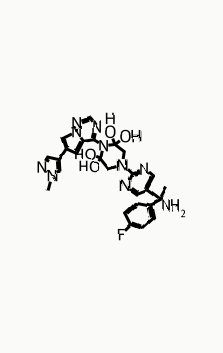 Cn1cc(-c2cc3c(N4C(O)(O)CN(c5ncc(C(C)(N)c6ccc(F)cc6)cn5)CC4(O)O)ncnn3c2)cn1